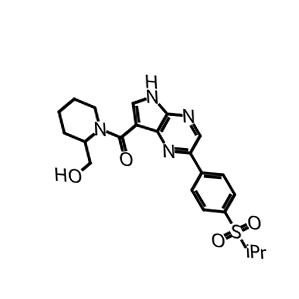 CC(C)S(=O)(=O)c1ccc(-c2cnc3[nH]cc(C(=O)N4CCCCC4CO)c3n2)cc1